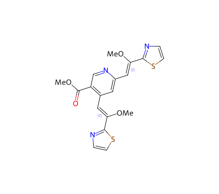 COC(=O)c1cnc(/C=C(\OC)c2nccs2)cc1/C=C(\OC)c1nccs1